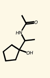 CC(=O)NC(C)C1(O)CCCC1